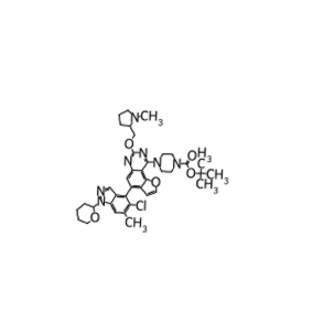 Cc1cc2c(cnn2C2CCCCO2)c(-c2cc3nc(OCC4CCCN4C)nc(N4CCN(C(=O)OC(C)(C)C)CC4)c3c3occc23)c1Cl